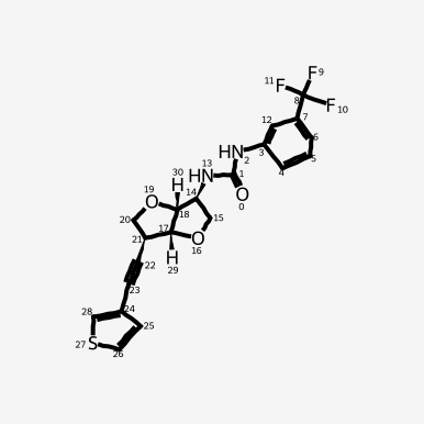 O=C(Nc1cccc(C(F)(F)F)c1)N[C@H]1CO[C@H]2[C@@H]1OC[C@@H]2C#Cc1ccsc1